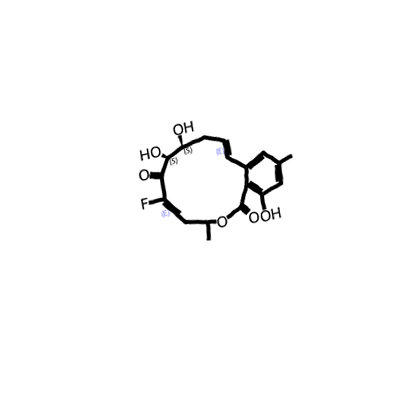 Cc1cc(O)c2c(c1)/C=C/C[C@H](O)[C@H](O)C(=O)/C(F)=C\CC(C)OC2=O